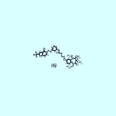 CCN1C(=O)C(C)(C)C(=O)N(C)c2cc(OCCCNCc3ccnc(CCn4ccc5oc(C(F)(F)F)cc5c4=O)c3)ccc21.Cl.Cl